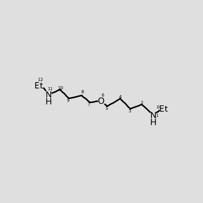 CCNCCCCOCCCCNCC